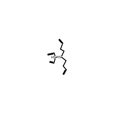 C=CCC[SiH](CCC=C)[SiH](C=C)C=C